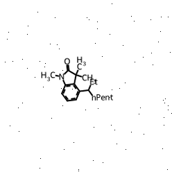 CCCCCC(CC)c1cccc2c1C(C)(C)C(=O)N2C